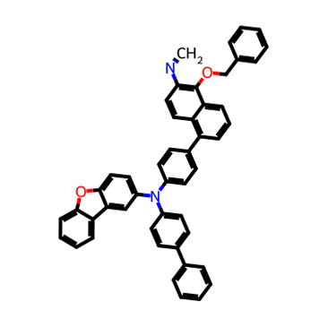 C=Nc1ccc2c(-c3ccc(N(c4ccc(-c5ccccc5)cc4)c4ccc5oc6ccccc6c5c4)cc3)cccc2c1OCc1ccccc1